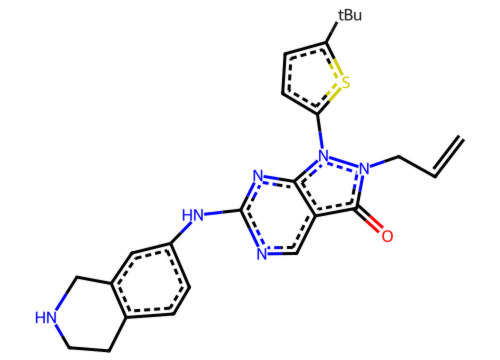 C=CCn1c(=O)c2cnc(Nc3ccc4c(c3)CNCC4)nc2n1-c1ccc(C(C)(C)C)s1